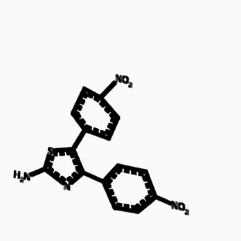 Nc1nc(-c2ccc([N+](=O)[O-])cc2)c(-c2ccc([N+](=O)[O-])cc2)s1